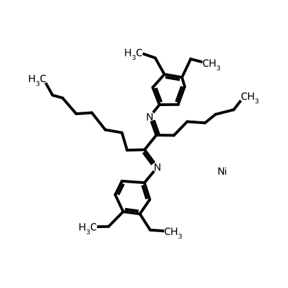 CCCCCCCCC(=N\c1ccc(CC)c(CC)c1)/C(CCCCCC)=N/c1ccc(CC)c(CC)c1.[Ni]